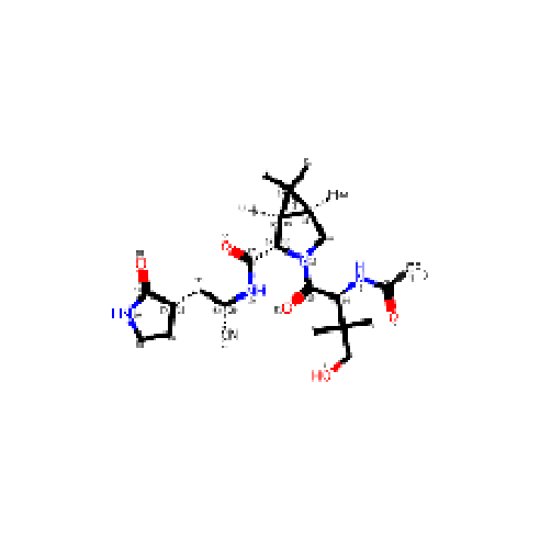 CC(C)(CO)[C@H](NC(=O)C(F)(F)F)C(=O)N1C[C@H]2[C@@H]([C@H]1C(=O)N[C@H](C#N)C[C@@H]1CCNC1=O)C2(C)C